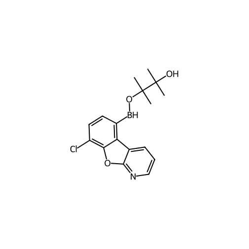 CC(C)(O)C(C)(C)OBc1ccc(Cl)c2oc3ncccc3c12